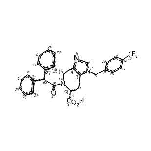 O=C(O)[C@@H]1Cc2c(ncn2Cc2ccc(C(F)(F)F)cc2)CN1C(=O)C(c1ccccc1)c1ccccc1